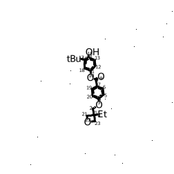 CCC1(COc2ccc(C(=O)Oc3ccc(O)c(C(C)(C)C)c3)cc2)COC1